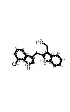 OCc1c(Cc2c[nH]c3c(Cl)cccc23)[nH]c2ccccc12